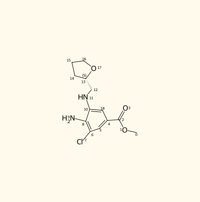 COC(=O)c1cc(Cl)c(N)c(NC[C@@H]2CCCO2)c1